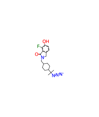 CC(C)(N=[N+]=[N-])C1CCC(CN2Cc3ccc(O)c(F)c3C2=O)CC1